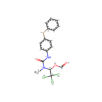 CN(C(=O)Nc1ccc(Sc2ccccc2)cc1)C(OC=O)C(Cl)(Cl)Cl